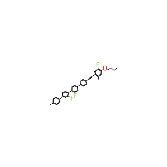 CCCCOc1cc(C)c(C#Cc2ccc(-c3ccc(-c4ccc(-c5ccc(C)cc5)cc4F)c(F)c3)cc2)cc1F